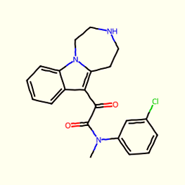 CN(C(=O)C(=O)c1c2n(c3ccccc13)CCNCC2)c1cccc(Cl)c1